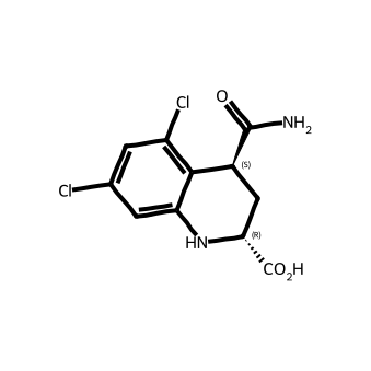 NC(=O)[C@H]1C[C@H](C(=O)O)Nc2cc(Cl)cc(Cl)c21